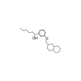 CCCCCC(O)c1cccc(OCC2CCC3CCCCC3C2)c1